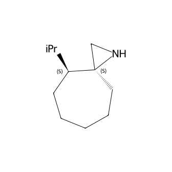 CC(C)[C@@H]1CCCCC[C@@]12CN2